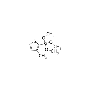 CO[Si](OC)(OC)c1sccc1C